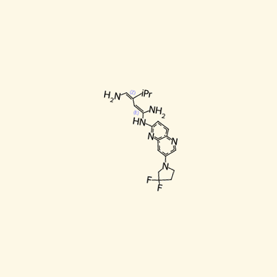 CC(C)C(=C/N)/C=C(\N)Nc1ccc2ncc(N3CCC(F)(F)C3)cc2n1